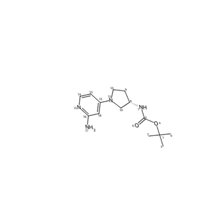 CC(C)(C)OC(=O)N[C@H]1CCN(c2ccnc(N)c2)C1